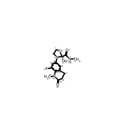 CNC(=O)[C@]1(O)OCCN1c1cc(F)c2c(c1)CCC(=O)N2C